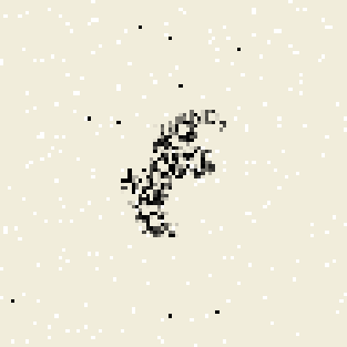 CC[C@@H](C(=O)NC(CC(=O)OC(C)(C)c1ccc([N+](=O)[O-])cc1)C(=O)COc1c(F)c(F)cc(F)c1F)n1ccc2ccc(Cl)cc2c1=O